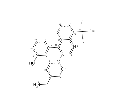 NCc1ccc(-c2cnc3c(C(F)(F)F)cccc3c2-c2cccc(O)c2)cc1